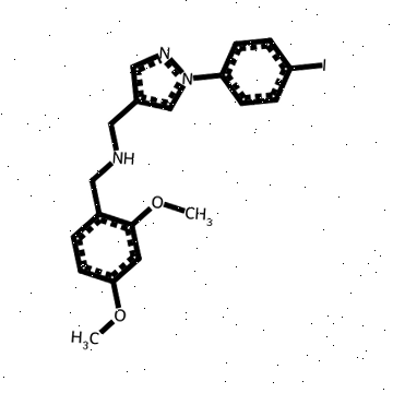 COc1ccc(CNCc2cnn(-c3ccc(I)cc3)c2)c(OC)c1